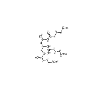 CCCCCCCCCCCCCC(=O)OCC(CC(CC)OC(=O)CCCCCCCCCCCCC)OC(=O)CCCCCCCCCCCCC